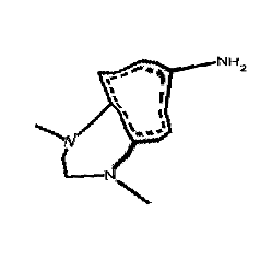 CN1CN(C)c2cc(N)ccc21